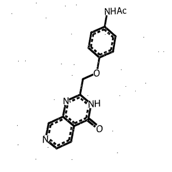 CC(=O)Nc1ccc(OCc2nc3cnccc3c(=O)[nH]2)cc1